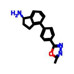 Cc1nnc(-c2ccc(-c3cccc4c3CC[C@H]4N)cc2)o1